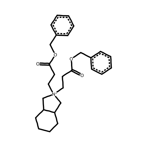 O=C(CC[N+]1(CCC(=O)OCc2ccccc2)CC2CCCCC2C1)OCc1ccccc1